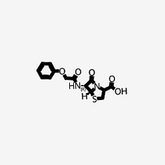 O=C(COc1ccccc1)N[C@@H]1C(=O)N2C(C(=O)O)CS[C@H]12